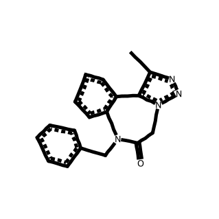 Cc1nnn2c1-c1ccccc1N(Cc1ccccc1)C(=O)C2